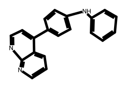 c1ccc(Nc2ccc(-c3ccnc4ncccc34)cc2)cc1